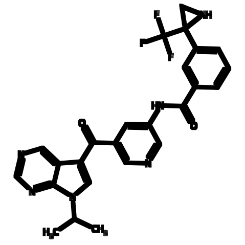 CC(C)n1cc(C(=O)c2cncc(NC(=O)c3cccc(C4(C(F)(F)F)CN4)c3)c2)c2cncnc21